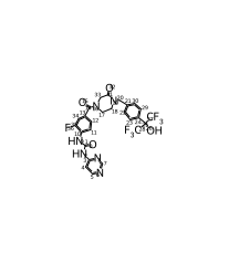 O=C(Nc1ccncn1)Nc1ccc(C(=O)N2CCN(Cc3ccc(C(O)(C(F)(F)F)C(F)(F)F)cc3)C(=O)C2)cc1F